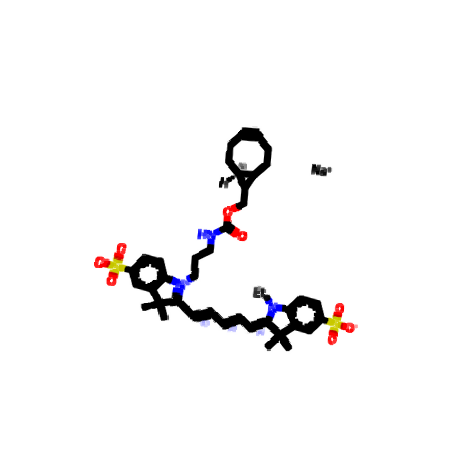 CCN1\C(=C/C=C/C=C/C2=[N+](CCCNC(=O)OCC3C4CCC#CCC[C@@H]43)c3ccc(S(=O)(=O)[O-])cc3C2(C)C)C(C)(C)c2cc(S(=O)(=O)[O-])ccc21.[Na+]